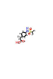 CC(C)S(=O)(=O)Nc1ccc([C@@H](C)C(=O)O)cc1